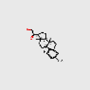 COc1ccc2c(c1)CC[C@@H]1[C@@H]2CC[C@]2(C)[C@@H](C(=O)CO)CC[C@@H]12